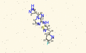 Cc1cn2c(-c3cn[nH]c3)cnc2c(Nc2cc(Cc3ccc(F)cn3)ns2)n1